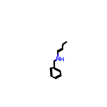 CCC=CNCc1ccccc1